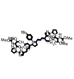 C\C=C/C(=C\C=C\C1CCC(C(/C=C\C)=C/C=C/c2cnc([C@@H]3CCCN3C(=O)[C@@H](NC(=O)OC)[C@H](C)OC)[nH]2)N1c1ccc(C(C)(C)C)cc1)c1cnc([C@@H]2CCCN2C(=O)[C@H](NC(=O)OC)[C@H](C)OC)[nH]1